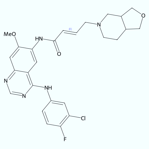 COc1cc2ncnc(Nc3ccc(F)c(Cl)c3)c2cc1NC(=O)/C=C/CN1CCC2COCC2C1